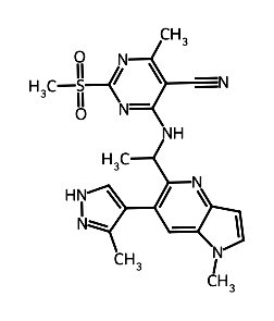 Cc1n[nH]cc1-c1cc2c(ccn2C)nc1C(C)Nc1nc(S(C)(=O)=O)nc(C)c1C#N